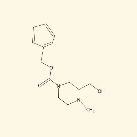 CN1CCN(C(=O)OCc2ccccc2)CC1CO